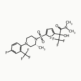 C[C@@H]1CN(c2ccc(F)cc2C(F)(F)F)CCN1S(=O)(=O)c1ccc(C(O)(C(=O)N(C)C)C(F)(F)F)s1